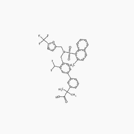 Cc1ccc2ccccc2c1S(=O)(=O)N(Cc1ccc(C(F)(F)F)o1)Cc1ccc(-c2cccc(C(C)(C)C(=O)O)c2)cc1C(F)F